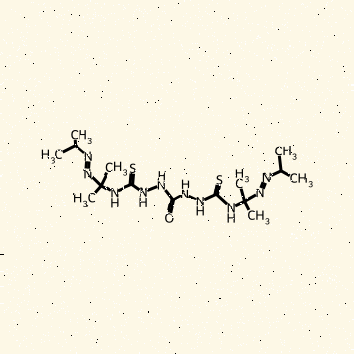 CC(C)N=NC(C)(C)NC(=S)NNC(=O)NNC(=S)NC(C)(C)N=NC(C)C